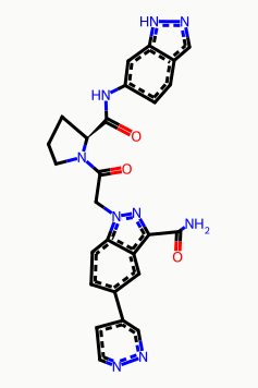 NC(=O)c1nn(CC(=O)N2CCC[C@H]2C(=O)Nc2ccc3cn[nH]c3c2)c2ccc(-c3ccnnc3)cc12